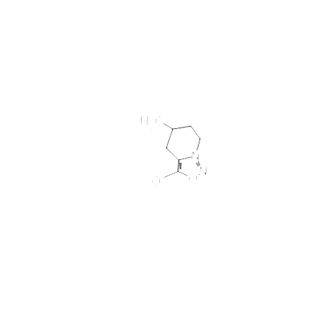 CC1CC[n+]2noc([O-])c2C1